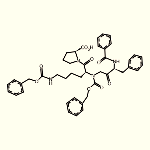 O=C(NCCCC[C@@H](C(=O)N1CCC[C@H]1C(=O)O)N(CC(=O)[C@H](Cc1ccccc1)NC(=O)c1ccccc1)C(=O)OCc1ccccc1)OCc1ccccc1